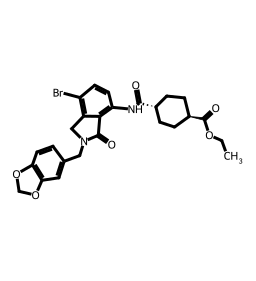 CCOC(=O)[C@H]1CC[C@H](C(=O)Nc2ccc(Br)c3c2C(=O)N(Cc2ccc4c(c2)OCO4)C3)CC1